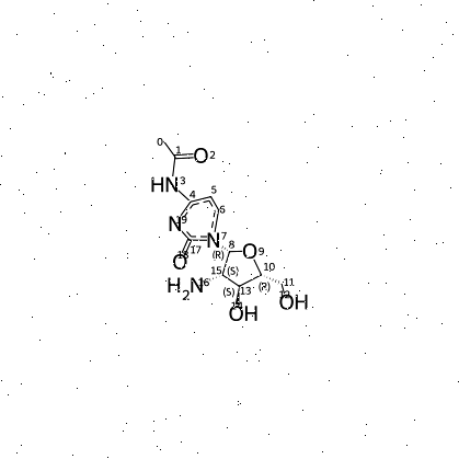 CC(=O)Nc1ccn([C@@H]2O[C@H](CO)[C@@H](O)[C@@H]2N)c(=O)n1